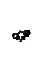 Nc1nscc1Cc1ccccc1